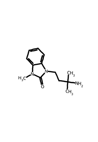 Cn1c(=O)n(CCC(C)(C)N)c2ccccc21